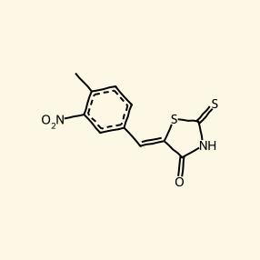 Cc1ccc(/C=C2\SC(=S)NC2=O)cc1[N+](=O)[O-]